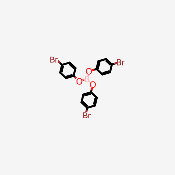 Brc1ccc(OB(Oc2ccc(Br)cc2)Oc2ccc(Br)cc2)cc1